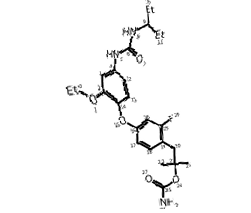 CCOc1cc(NC(=O)NC(CC)CC)ccc1Oc1ccc(CC(C)(C)OC(N)=O)c(F)c1